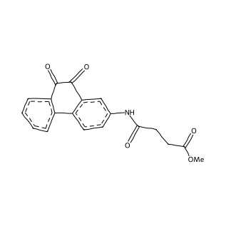 COC(=O)CCC(=O)Nc1ccc2c(c1)C(=O)C(=O)c1ccccc1-2